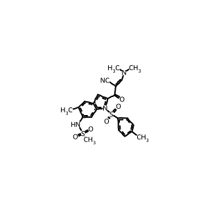 Cc1ccc(S(=O)(=O)n2c(C(=O)C(C#N)=CN(C)C)cc3cc(C)c(NS(C)(=O)=O)cc32)cc1